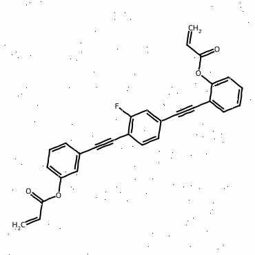 C=CC(=O)Oc1cccc(C#Cc2ccc(C#Cc3ccccc3OC(=O)C=C)cc2F)c1